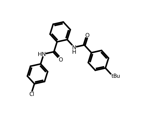 CC(C)(C)c1ccc(C(=O)Nc2ccccc2C(=O)Nc2ccc(Cl)cc2)cc1